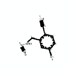 C#Cc1ccc(Cl)cc1COC(C)=O.N#N